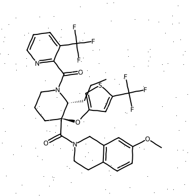 CCC[C@H]1N(C(=O)c2ncccc2C(F)(F)F)CCC[C@@]1(Oc1csc(C(F)(F)F)c1)C(=O)N1CCc2ccc(OC)cc2C1